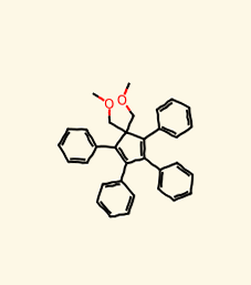 COCC1(COC)C(c2ccccc2)=C(c2ccccc2)C(c2ccccc2)=C1c1ccccc1